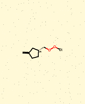 C=C1CC[C@@H](COOCC)C1